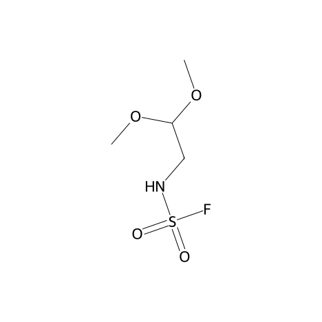 COC(CNS(=O)(=O)F)OC